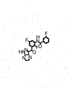 O=C(Nc1cc(F)cc(C(=O)C2=NNC3N=CC=NC23)c1F)c1cccc(F)c1